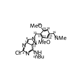 CCCCNc1nc(Cl)nc2cn(Cc3c(OC)cc(CNC)cc3OC)nc12